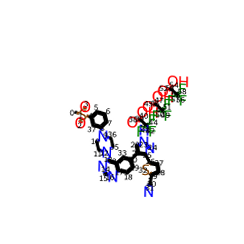 CS(=O)(=O)c1cccc(N2CCN(c3ncnc4ccc(-c5c[nH]nc5-c5ccc(C#N)s5)cc34)CC2)c1.O=C(O)C(F)(F)F.O=C(O)C(F)(F)F.O=C(O)C(F)(F)F